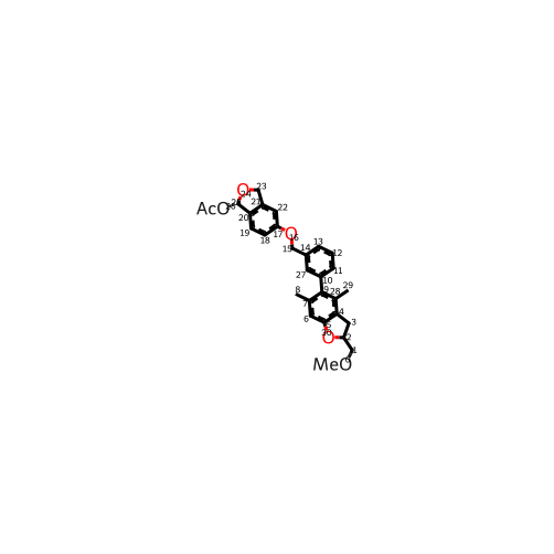 COCC1Cc2c(cc(C)c(-c3cccc(COc4ccc5c(c4)CO[C@H]5OC(C)=O)c3)c2C)O1